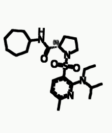 CCN(c1nc(C)ccc1S(=O)(=O)N1CCC[C@H]1C(=O)NC1CCCCCC1)C(C)C